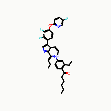 C/C=C\C1C(C(/C=C\C(=C\F)Oc2ccc(F)cn2)=C(/C)F)=CN=C1/C(=C/CC)Nc1ccc(C(=O)CCCCC)c(CC)c1